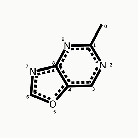 Cc1ncc2ocnc2n1